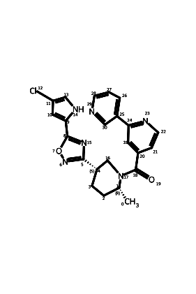 C[C@@H]1CC[C@H](c2noc(-c3cc(Cl)c[nH]3)n2)CN1C(=O)c1ccnc(-c2cccnc2)c1